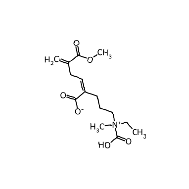 C=C(CC=C(CCC[N+](C)(CC)C(=O)O)C(=O)[O-])C(=O)OC